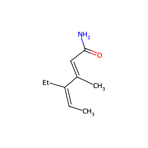 CC=C(CC)C(C)=CC(N)=O